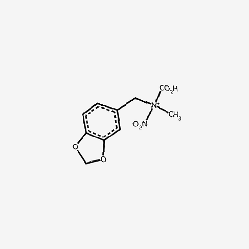 C[N+](Cc1ccc2c(c1)OCO2)(C(=O)O)[N+](=O)[O-]